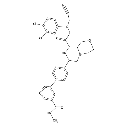 CNC(=O)c1cccc(-c2ccc(C(CN3CCOCC3)NCC(=O)CN(CC#N)c3ccc(Cl)c(Cl)c3)cc2)c1